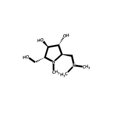 CN(C)C[C@@H]1[C@@H](O)[C@H](O)[C@@H](CO)N1C